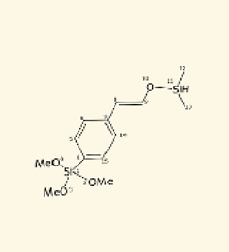 CO[Si](OC)(OC)c1ccc(C=CO[SiH](C)C)cc1